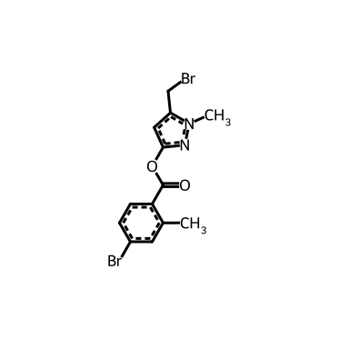 Cc1cc(Br)ccc1C(=O)Oc1cc(CBr)n(C)n1